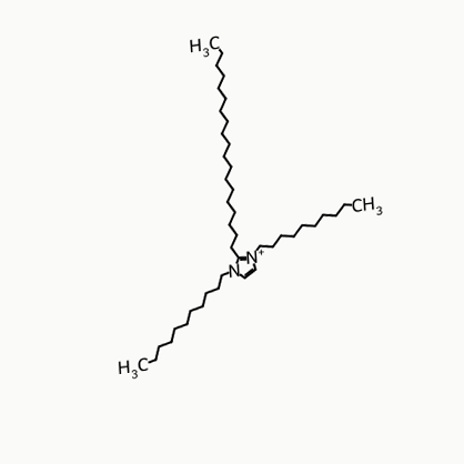 CCCCCCCCCCCCCCCCCCCc1n(CCCCCCCCCCC)cc[n+]1CCCCCCCCCC